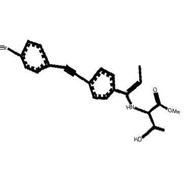 C/C=C(/NC(C(=O)OC)C(C)O)c1ccc(C#Cc2ccc(Br)cc2)cc1